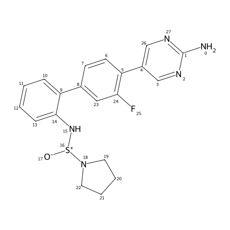 Nc1ncc(-c2ccc(-c3ccccc3N[S+]([O-])N3CCCC3)cc2F)cn1